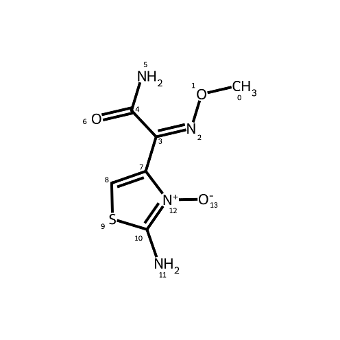 CO/N=C(\C(N)=O)c1csc(N)[n+]1[O-]